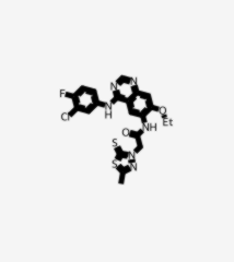 CCOc1cc2ncnc(Nc3ccc(F)c(Cl)c3)c2cc1NC(=O)Cn1nc(C)sc1=S